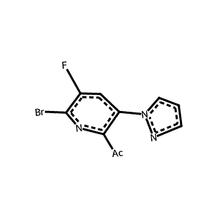 CC(=O)c1nc(Br)c(F)cc1-n1cccn1